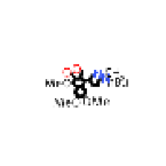 CCCCN(C)c1ccc(-c2c3c(c(OC)c4cc(OC)c(OC)cc24)C(=O)OC3)cn1